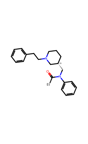 CCC(=O)N(C[C@H]1CCCN(CCc2ccccc2)C1)c1ccccc1